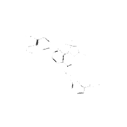 CC1CN(c2nc(-c3ccc(Cl)c(OC(C)C)c3)ccc2C(=O)NS(=O)(=O)c2cccc(N)n2)C(C)(C)C1